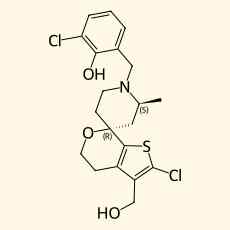 C[C@H]1C[C@@]2(CCN1Cc1cccc(Cl)c1O)OCCc1c2sc(Cl)c1CO